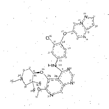 COc1ncc2ncnc(Nc3ccc(Oc4cnc5ccnn5c4)c(Cl)c3)c2c1O[C@@H]1CCN(C)CC1(F)F